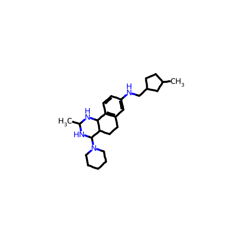 CC1CCC(CNc2ccc3c(c2)CCC2C3NC(C)NC2N2CCCCC2)C1